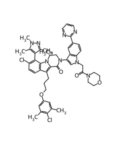 Cc1cc(OCCCc2c3n(c4c(-c5c(C)nn(C)c5C)c(Cl)ccc24)[C@H](C)CN(c2cn(CC(=O)N4CCOCC4)c4ccc(-c5ncccn5)cc24)C3=O)cc(C)c1Cl